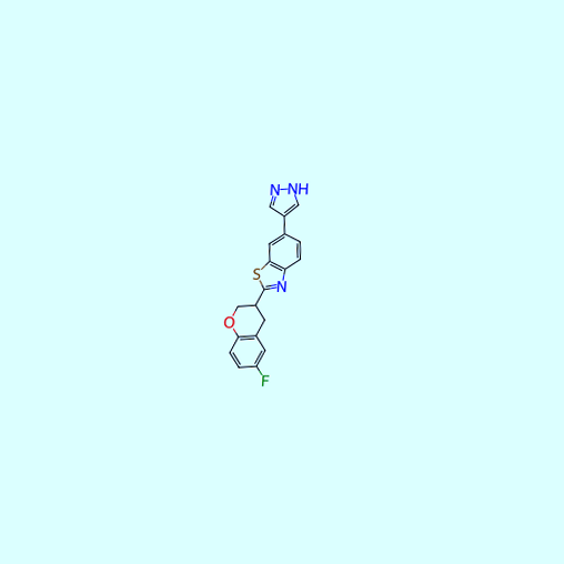 Fc1ccc2c(c1)CC(c1nc3ccc(-c4cn[nH]c4)cc3s1)CO2